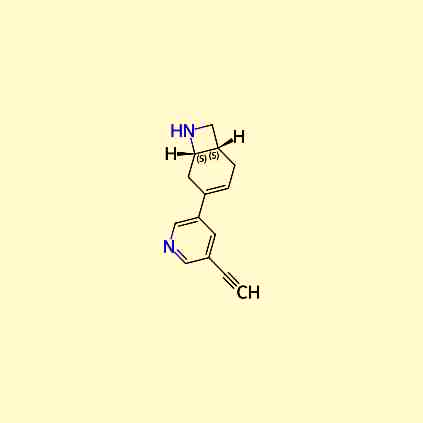 C#Cc1cncc(C2=CC[C@H]3CN[C@H]3C2)c1